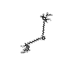 Cc1c(N)c2c3c(ccc2n1CCCCCCCCCCCCOc1ccccc1OCCCCCCCCCCCCn1c(C)c(N)c2c(OCC(=O)OC(C)(C)C)c4c(=O)c(=O)c4cc21)C(=O)C(=O)C(C(=O)OC(C)(C)C)O3